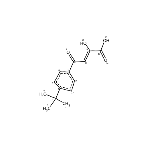 CC(C)(C)c1ccc(C(=O)/C=C(\O)C(=O)O)cc1